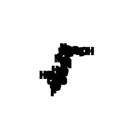 CC(C)(O)COc1cc(-c2ccc(N3CCN(C(=O)C(NC(=O)O)c4ccc(F)cc4)CC3)nc2)c2c(C#N)cnn2c1